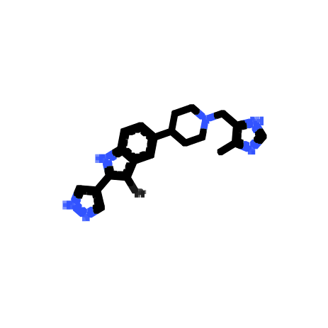 Cc1nc[nH]c1CN1CCC(c2ccc3[nH]c(-c4cn[nH]c4)c(C(C)C)c3c2)CC1